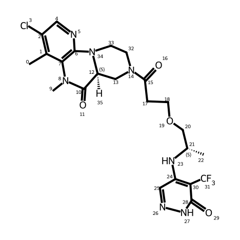 Cc1c(Cl)cnc2c1N(C)C(=O)[C@@H]1CN(C(=O)CCOC[C@H](C)Nc3cn[nH]c(=O)c3C(F)(F)F)CCN21